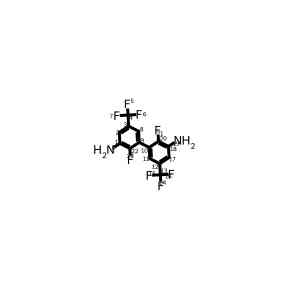 Nc1cc(C(F)(F)F)cc(-c2cc(C(F)(F)F)cc(N)c2F)c1F